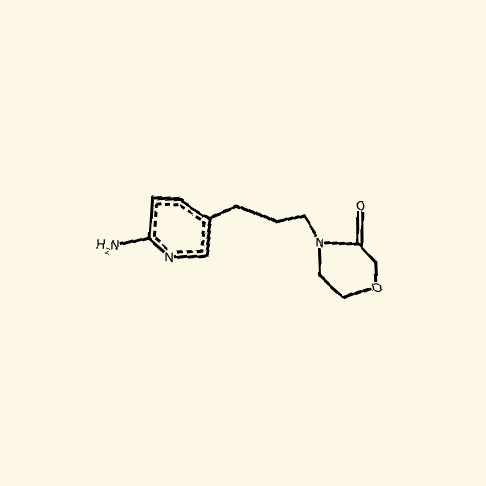 Nc1ccc(CCCN2CCOCC2=O)cn1